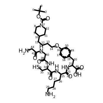 CC(C)(C)OC(=O)N1CCC(CCCCOc2ccc(CC(NC(=O)C(CCCCN)NC(=O)C(CS)NC(=O)CNC(=O)CN)C(=O)O)cc2)CC1